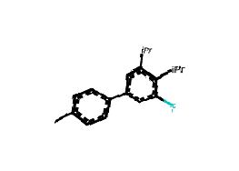 Cc1ccc(-c2cc(F)c(C(C)C)c(C(C)C)c2)cc1